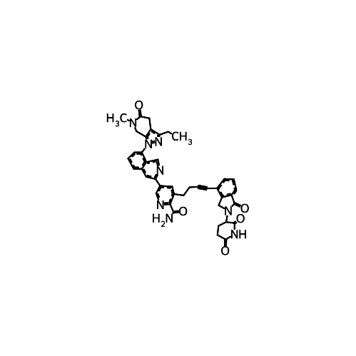 CCc1nn(-c2cccc3cc(-c4cnc(C(N)=O)c(CCC#Cc5cccc6c5CN(C5CCC(=O)NC5=O)C6=O)c4)ncc23)c2c1CC(=O)N(C)C2